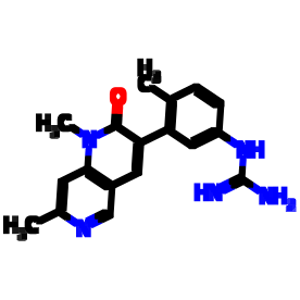 Cc1cc2c(cn1)cc(-c1cc(NC(=N)N)ccc1C)c(=O)n2C